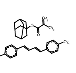 C=C(C)C(=O)OC12CC3CC(CC(C3)C1)C2.Cc1ccc(C=CC=Cc2ccc(O)cc2)cc1